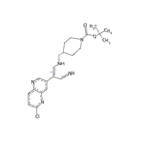 CC(C)(C)OC(=O)N1CCC(CN/C=C(\C=N)c2cnc3ccc(Cl)nc3c2)CC1